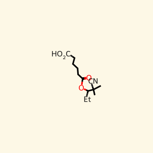 CCC(OC(=O)CCCCC(=O)O)C(C)(C)C#N